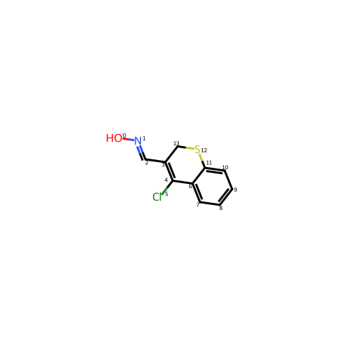 O/N=C/C1=C(Cl)c2ccccc2SC1